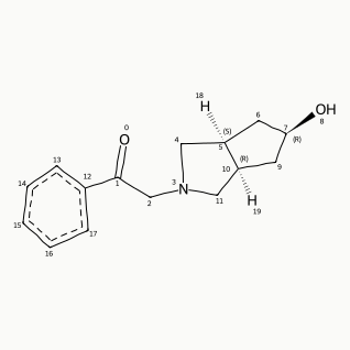 O=C(CN1C[C@H]2C[C@@H](O)C[C@H]2C1)c1ccccc1